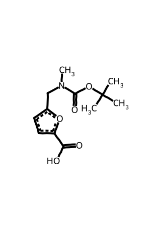 CN(Cc1ccc(C(=O)O)o1)C(=O)OC(C)(C)C